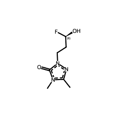 Cc1nn(CC[C@H](O)F)c(=O)n1C